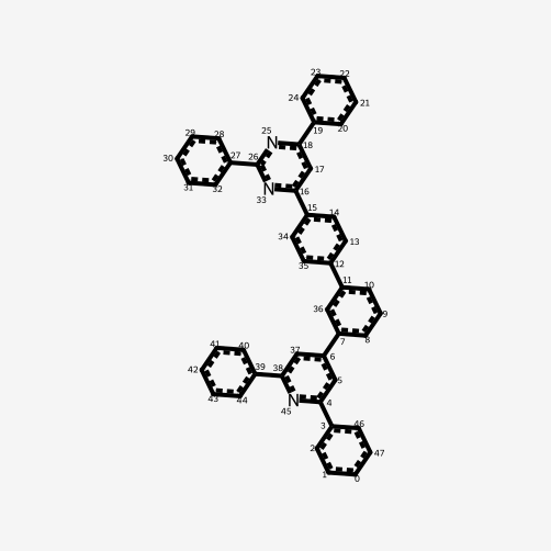 c1ccc(-c2cc(-c3cccc(-c4ccc(-c5cc(-c6ccccc6)nc(-c6ccccc6)n5)cc4)c3)cc(-c3ccccc3)n2)cc1